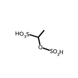 CC(OS(=O)(=O)O)S(=O)(=O)O